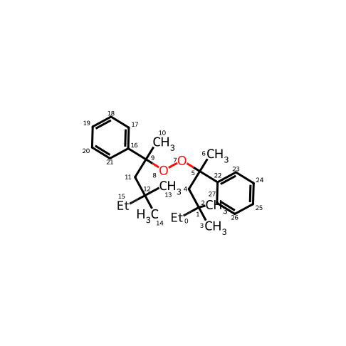 CCC(C)(C)CC(C)(OOC(C)(CC(C)(C)CC)c1ccccc1)c1ccccc1